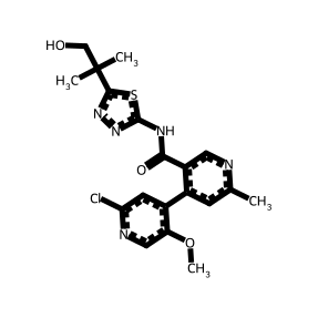 COc1cnc(Cl)cc1-c1cc(C)ncc1C(=O)Nc1nnc(C(C)(C)CO)s1